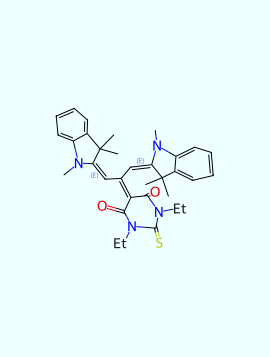 CCN1C(=O)C(=C(/C=C2/N(C)c3ccccc3C2(C)C)/C=C2/N(C)c3ccccc3C2(C)C)C(=O)N(CC)C1=S